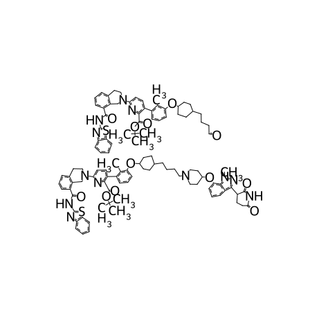 Cc1c(OC2CCC(CCCC=O)CC2)cccc1-c1ccc(N2CCc3cccc(C(=O)Nc4nc5ccccc5s4)c3C2)nc1C(=O)OC(C)(C)C.Cc1c(OC2CCC(CCCCN3CCC(Oc4cccc5c(C6CCC(=O)NC6=O)nn(C)c45)CC3)CC2)cccc1-c1ccc(N2CCc3cccc(C(=O)Nc4nc5ccccc5s4)c3C2)nc1C(=O)OC(C)(C)C